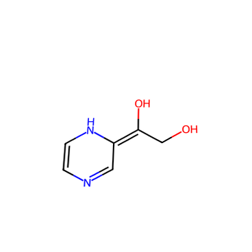 OCC(O)=C1C=NC=CN1